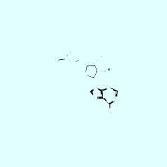 CCO[C@@H]1[C@H](O)[C@@H](COP(N)O)O[C@H]1n1cnc2c(N)ncnc21